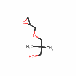 CC(C)(CO)COCC1CO1